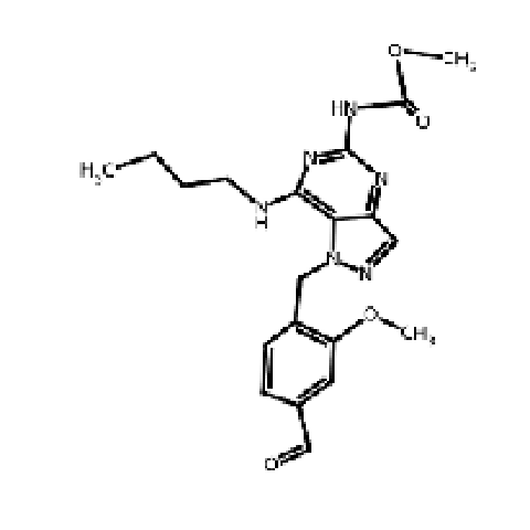 CCCCNc1nc(NC(=O)OC)nc2cnn(Cc3ccc(C=O)cc3OC)c12